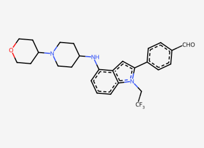 O=Cc1ccc(-c2cc3c(NC4CCN(C5CCOCC5)CC4)cccc3n2CC(F)(F)F)cc1